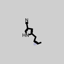 C/C=C\Cc1cc(C#N)c[nH]1